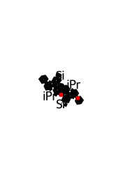 Cc1ccc(-c2ccccc2)c(C)c1N(c1ccc([Si](C)(C)C)cc1)c1cc(C(C)C)c2ccc3c(N(c4ccc([Si](C)(C)C)cc4)c4c(C)ccc(-c5ccccc5)c4C)cc(C(C)C)c4ccc1c2c43